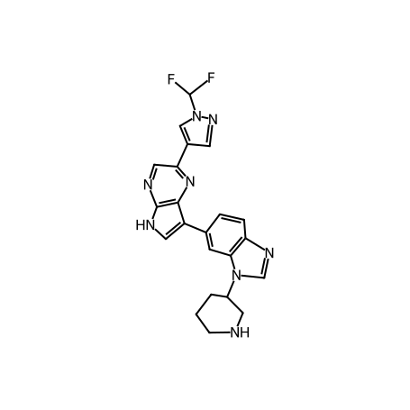 FC(F)n1cc(-c2cnc3[nH]cc(-c4ccc5ncn(C6CCCNC6)c5c4)c3n2)cn1